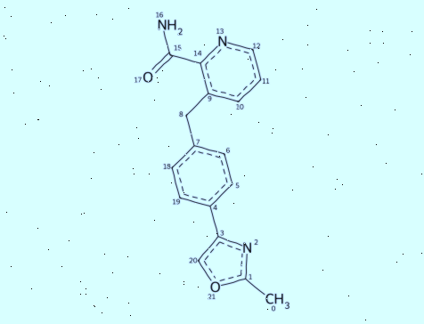 Cc1nc(-c2ccc(Cc3cccnc3C(N)=O)cc2)co1